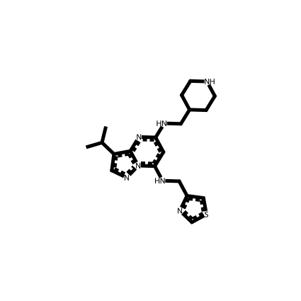 CC(C)c1cnn2c(NCc3cscn3)cc(NCC3CCNCC3)nc12